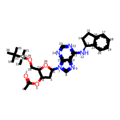 CC(=O)OC1CC(n2cnc3c(N[C@H]4CCc5ccccc54)ncnc32)OC1CO[Si](C)(C)C(C)(C)C